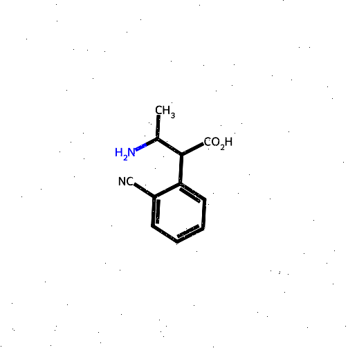 CC(N)C(C(=O)O)c1ccccc1C#N